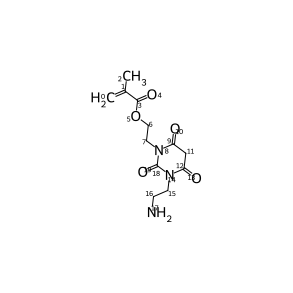 C=C(C)C(=O)OCCN1C(=O)CC(=O)N(CCN)C1=O